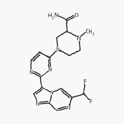 CN1CCN(c2ccnc(-c3cnc4cnc(C(F)F)cn34)n2)CC1C(N)=O